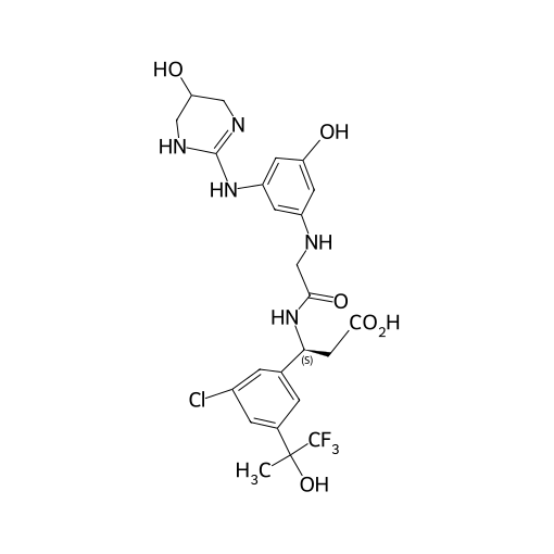 CC(O)(c1cc(Cl)cc([C@H](CC(=O)O)NC(=O)CNc2cc(O)cc(NC3=NCC(O)CN3)c2)c1)C(F)(F)F